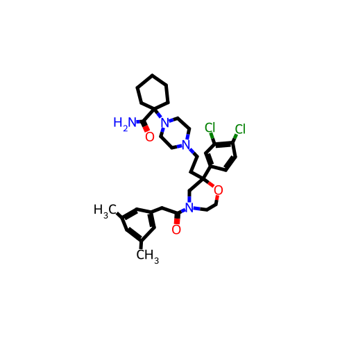 Cc1cc(C)cc(CC(=O)N2CCOC(CCN3CCN(C4(C(N)=O)CCCCC4)CC3)(c3ccc(Cl)c(Cl)c3)C2)c1